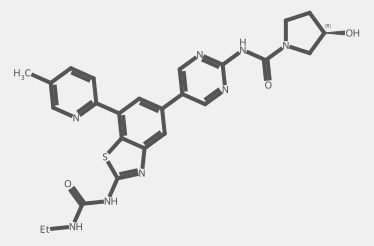 CCNC(=O)Nc1nc2cc(-c3cnc(NC(=O)N4CC[C@@H](O)C4)nc3)cc(-c3ccc(C)cn3)c2s1